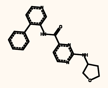 O=C(Nc1cnccc1-c1ccccc1)c1ccnc(NC2CCOC2)n1